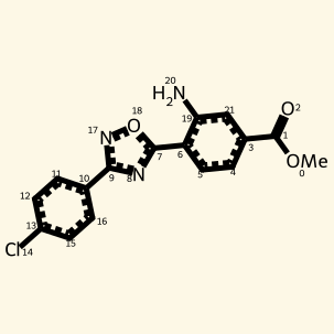 COC(=O)c1ccc(-c2nc(-c3ccc(Cl)cc3)no2)c(N)c1